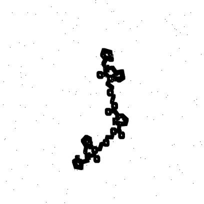 O=C(OCCOCCOC(=O)N(Cc1cccs1)Cc1cccs1)c1cccc(C(=O)OCCOCCOC(=O)N(Cc2cccs2)Cc2cccs2)n1